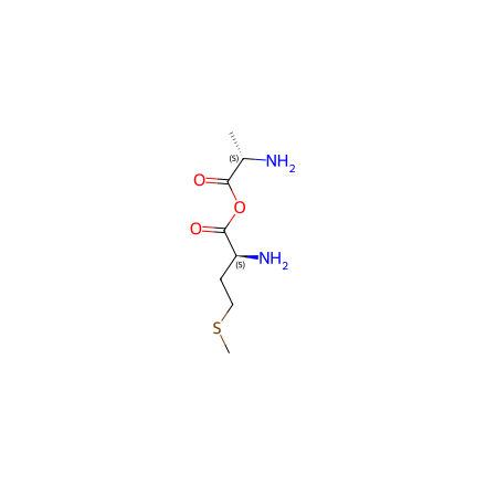 CSCC[C@H](N)C(=O)OC(=O)[C@H](C)N